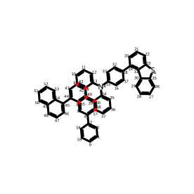 c1ccc(-c2ccc(-c3ccccc3N(c3ccc(-c4cccc5sc6ccccc6c45)cc3)c3ccccc3-c3cccc(-c4cccc5ccccc45)c3)cc2)cc1